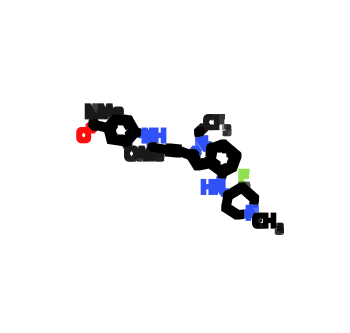 CNC(=O)c1ccc(NCC#Cc2cc3c(NC4CCN(C)C[C@@H]4F)cccc3n2CC(F)(F)F)c(OC)c1